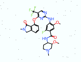 COc1cc(C(=O)N[C@@H]2CCN(C)C[C@@H]2OC)c(F)cc1Nc1ncc(C(F)(F)F)c(Oc2cccc3c2C(=O)N(C)C3)n1